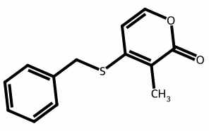 Cc1c(SCc2ccccc2)ccoc1=O